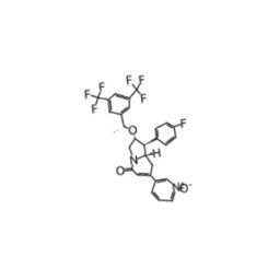 C[C@@H](O[C@H]1CN2C(=O)C=C(c3ccc[n+]([O-])c3)C[C@H]2[C@@H]1c1ccc(F)cc1)c1cc(C(F)(F)F)cc(C(F)(F)F)c1